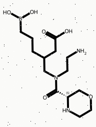 NCCN(CC(CCCB(O)O)CC(=O)O)C(=O)[C@@H]1COCCN1